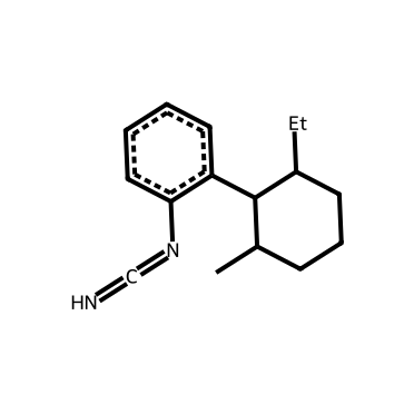 CCC1CCCC(C)C1c1ccccc1N=C=N